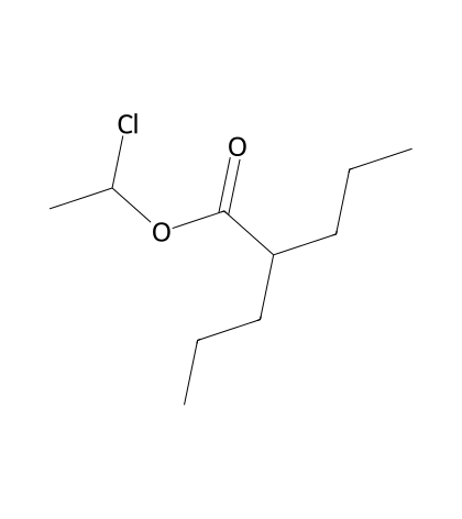 CCCC(CCC)C(=O)OC(C)Cl